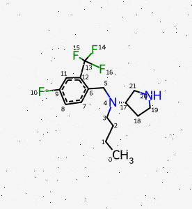 CCCCN(Cc1ccc(F)cc1C(F)(F)F)[C@H]1CCNC1